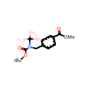 BC(B)(B)N(Cc1ccc(C(=O)OC)cc1)C(=O)OC(C)(C)C